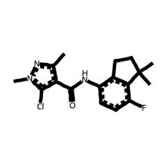 Cc1nn(C)c(Cl)c1C(=O)Nc1ccc(F)c2c1CCC2(C)C